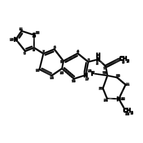 C=C(Nc1cc2cc(-c3cncs3)ccc2cn1)C1(F)CCN(C)CC1